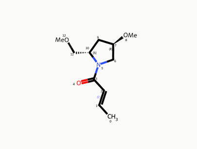 C/C=C/C(=O)N1C[C@H](OC)C[C@H]1COC